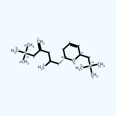 C=C(CC(C)C[C@@H]1CC=CC(C[Si](C)(C)C)O1)C[Si](C)(C)C